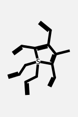 C=CCS1(CC=C)C(C=C)=C(C)C(C=C)=C1C=C